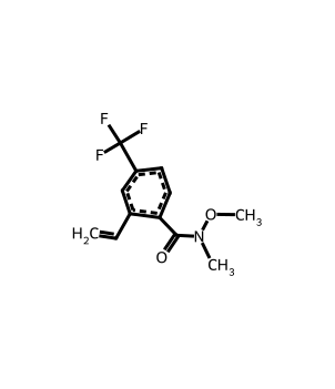 C=Cc1cc(C(F)(F)F)ccc1C(=O)N(C)OC